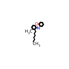 CCCCCCCc1c(C)ccc2c1[N]c1ccccc1O2